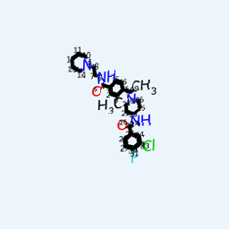 Cc1cc(C(=O)NCCN2CCCCC2)ccc1C(C)N1CCC(NC(=O)c2ccc(F)c(Cl)c2)CC1